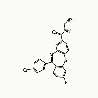 CC(C)CNC(=O)c1ccc2c(c1)N=C(c1ccc(Cl)cc1)c1ccc(F)cc1S2